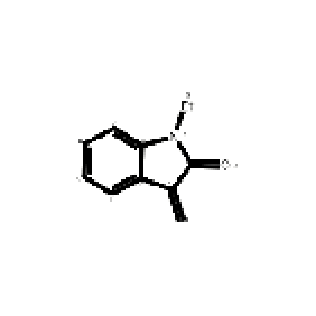 C=C1C(=O)N(CC)c2ccccc21